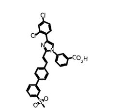 CS(=O)(=O)c1cccc(-c2ccc(/C=C/c3nc(-c4ccc(Cl)cc4Cl)cn3-c3cccc(C(=O)O)c3)cc2)c1